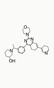 CC(c1cccc(-c2nc(N3CCOCC3)nc3c2CCC(C2=CN=CCC2)=C3)c1)N1CCCC(O)C1